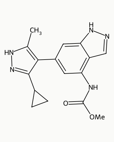 COC(=O)Nc1cc(-c2c(C3CC3)n[nH]c2C)cc2[nH]ncc12